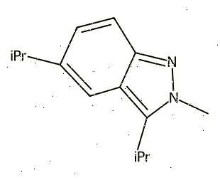 CC(C)c1ccc2nn(C)c(C(C)C)c2c1